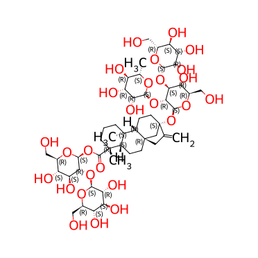 C=C1C[C@@]23CC[C@H]4[C@@](C)(CCC[C@@]4(C)C(=O)O[C@@H]4O[C@H](CO)[C@@H](O)[C@H](O)[C@H]4O[C@@H]4O[C@H](CO)[C@@H](O)[C@H](O)[C@H]4O)[C@@H]2CC[C@]1(O[C@@H]1O[C@H](CO)[C@@H](O)[C@H](O[C@@H]2O[C@H](CO)[C@@H](O)[C@H](O)[C@H]2O)[C@H]1O[C@@H]1O[C@@H](C)[C@H](O)[C@@H](O)[C@H]1O)C3